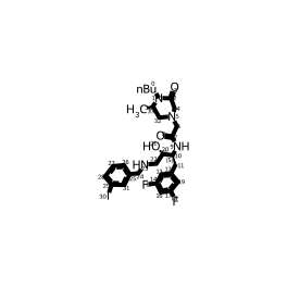 CCCCN1C(=O)CN(CC(=O)N[C@@H](Cc2cc(F)cc(F)c2)[C@@H](O)CNCc2cccc(I)c2)C[C@H]1C